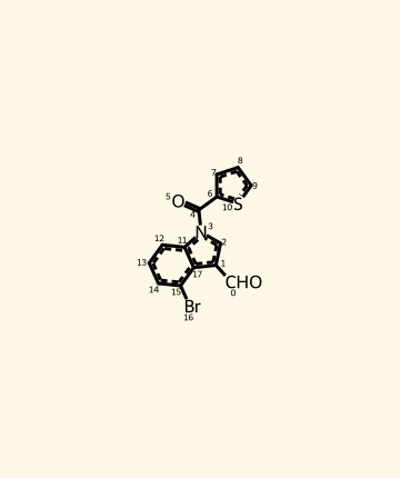 O=Cc1cn(C(=O)c2cccs2)c2cccc(Br)c12